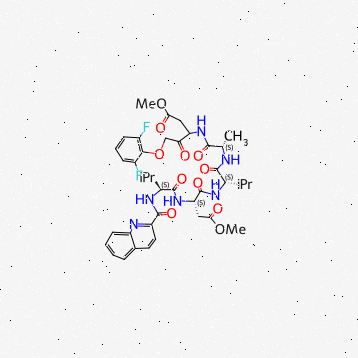 COC(=O)CC(NC(=O)[C@H](C)NC(=O)[C@@H](NC(=O)[C@H](CC(=O)OC)NC(=O)[C@@H](NC(=O)c1ccc2ccccc2n1)C(C)C)C(C)C)C(=O)COc1c(F)cccc1F